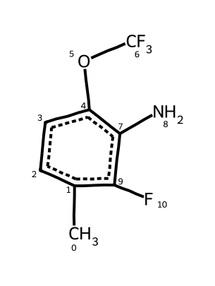 Cc1ccc(OC(F)(F)F)c(N)c1F